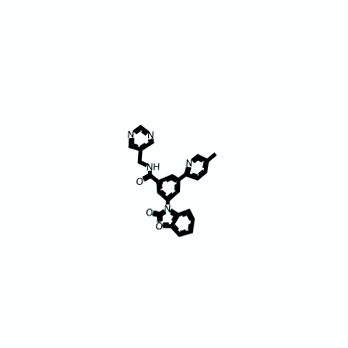 Cc1ccc(-c2cc(C(=O)NCc3cncnc3)cc(-n3c(=O)oc4ccccc43)c2)nc1